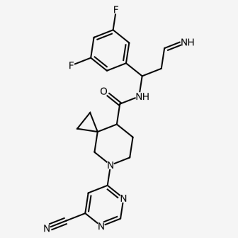 N#Cc1cc(N2CCC(C(=O)NC(CC=N)c3cc(F)cc(F)c3)C3(CC3)C2)ncn1